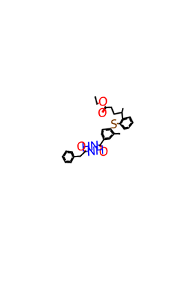 CCOC(=O)CCC(C)c1ccccc1Sc1ccc(C(=O)NNC(=O)Cc2ccccc2)cc1C